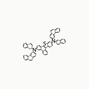 C1=CC(N(c2ccc3ccc4ccccc4c3c2)c2ccc3c(c2)c2ccccc2c2c4ccc(N(c5ccc6ccccc6c5)c5ccc6ccc7ccccc7c6c5)cc4sc32)Cc2ccccc21